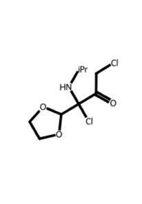 CC(C)NC(Cl)(C(=O)CCl)C1OCCO1